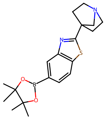 CC1(C)OB(c2ccc3sc(C45CCN(CC4)C5)nc3c2)OC1(C)C